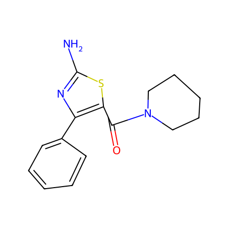 Nc1nc(-c2ccccc2)c(C(=O)N2CCCCC2)s1